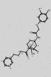 O=C(COc1ccc(Cl)c(F)c1)NC12CCC(C(=O)NCCc3cccnc3)(CC1)[C@@H](O)C2